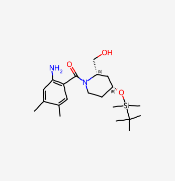 Cc1cc(N)c(C(=O)N2CC[C@@H](O[Si](C)(C)C(C)(C)C)C[C@H]2CO)cc1C